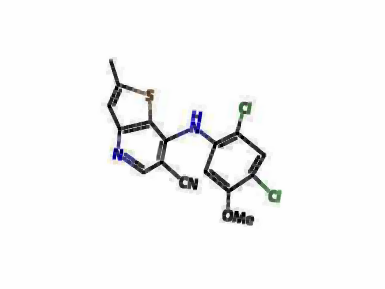 COc1cc(Nc2c(C#N)cnc3cc(C)sc23)c(Cl)cc1Cl